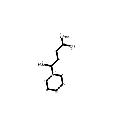 CCCCCC(O)CCC(N)N1CCCCC1